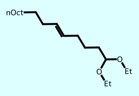 CCCCCCCCCC/C=C/CCCC(OCC)OCC